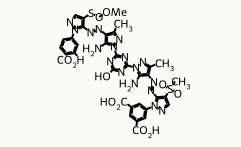 COOSc1cnn(-c2cccc(C(=O)O)c2)c1N=Nc1c(C)nn(-c2nc(O)nc(-n3nc(C)c(N=Nc4c(S(C)(=O)=O)cnn4-c4cc(C(=O)O)cc(C(=O)O)c4)c3N)n2)c1N